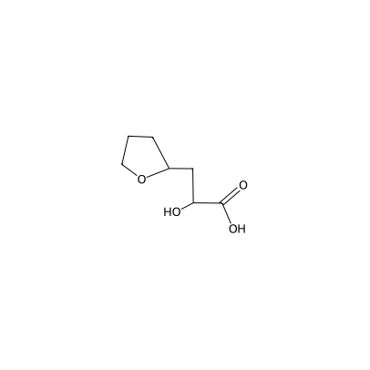 O=C(O)C(O)CC1CCCO1